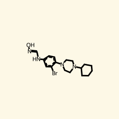 O/N=C/Nc1ccc(N2CCN(C3CCCCC3)CC2)c(Br)c1